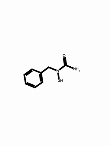 NC(=O)N(S)Cc1ccccc1